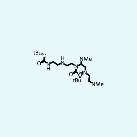 CNCCNCC(NC)N(CCNCCNC(=O)OC(C)(C)C)C(=O)OC(C)(C)C